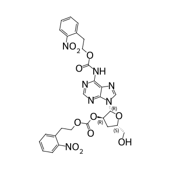 O=C(Nc1ncnc2c1ncn2[C@@H]1O[C@H](CO)C[C@H]1OC(=O)OCCc1ccccc1[N+](=O)[O-])OCCc1ccccc1[N+](=O)[O-]